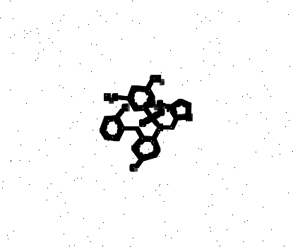 Cc1cc(C)cc(S(=O)(=O)N(Cc2nccn2C)c2ccc(Cl)cc2Cc2ccccc2Cl)c1